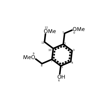 COCc1ccc(O)c(COC)c1COC